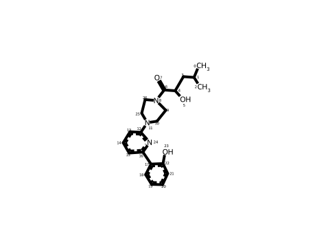 CC(C)CC(O)C(=O)N1CCN(c2cccc(-c3ccccc3O)n2)CC1